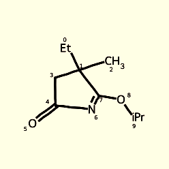 CCC1(C)CC(=O)N=C1OC(C)C